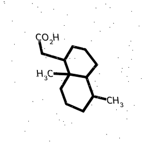 CC1CCCC2(C)C(CC(=O)O)CCCC12